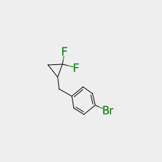 FC1(F)CC1Cc1ccc(Br)cc1